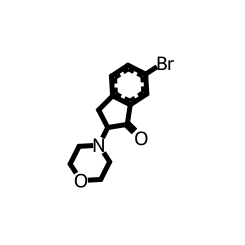 O=C1c2cc(Br)ccc2CC1N1CCOCC1